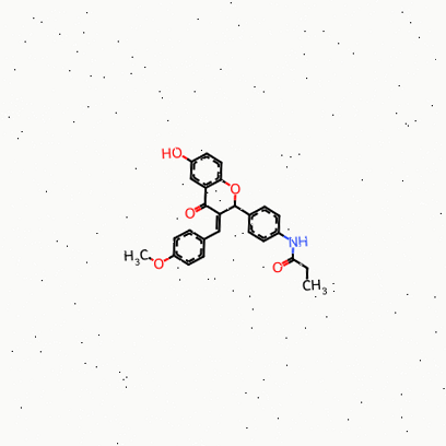 CCC(=O)Nc1ccc(C2Oc3ccc(O)cc3C(=O)C2=Cc2ccc(OC)cc2)cc1